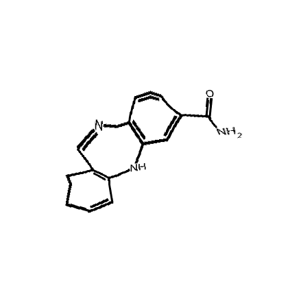 NC(=O)c1ccc2c(c1)NC1=C(C=N2)CCC=C1